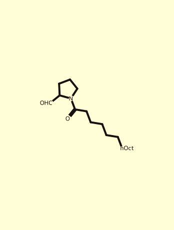 CCCCCCCCCCCCCC(=O)N1CCCC1C=O